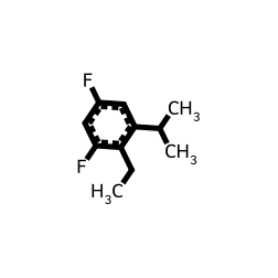 CCc1c(F)cc(F)cc1C(C)C